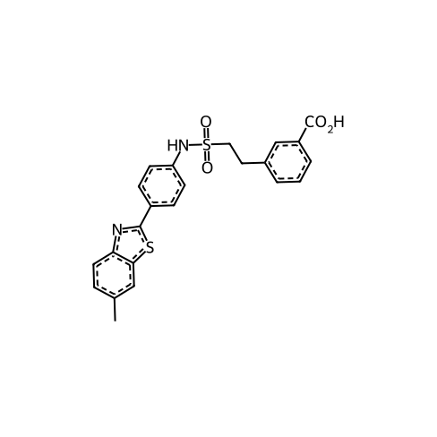 Cc1ccc2nc(-c3ccc(NS(=O)(=O)CCc4cccc(C(=O)O)c4)cc3)sc2c1